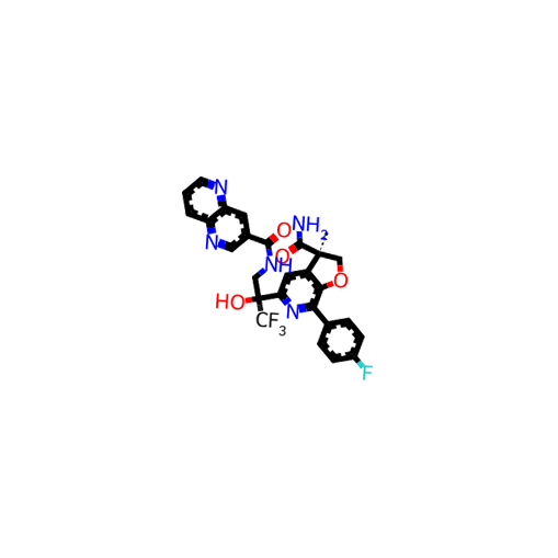 C[C@]1(C(N)=O)COc2c1cc(C(O)(CNC(=O)c1cnc3cccnc3c1)C(F)(F)F)nc2-c1ccc(F)cc1